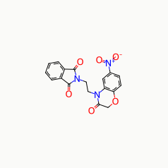 O=C1c2ccccc2C(=O)N1CCN1C(=O)COc2ccc([N+](=O)[O-])cc21